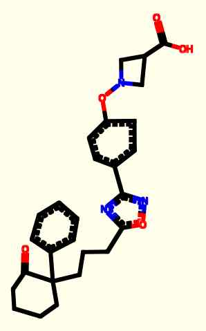 O=C(O)C1CN(Oc2ccc(-c3noc(CCCC4(c5ccccc5)CCCCC4=O)n3)cc2)C1